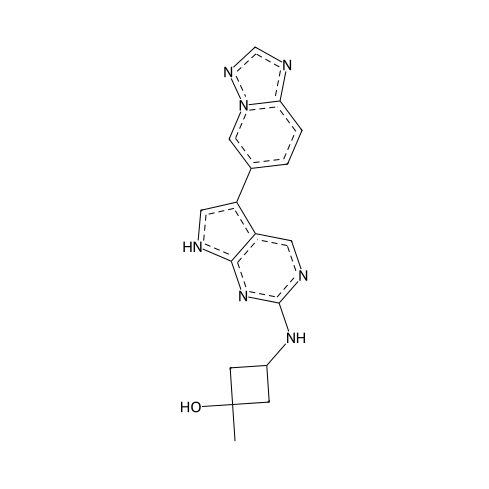 CC1(O)CC(Nc2ncc3c(-c4ccc5ncnn5c4)c[nH]c3n2)C1